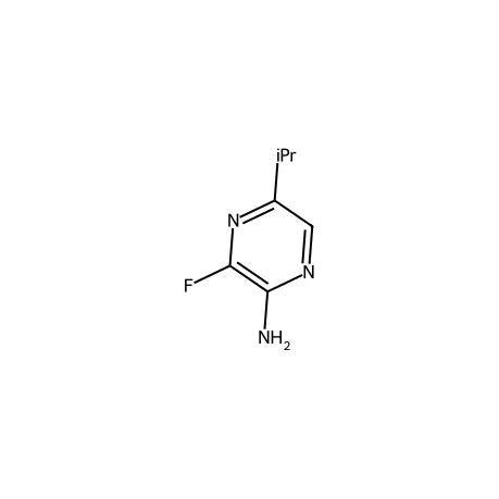 CC(C)c1cnc(N)c(F)n1